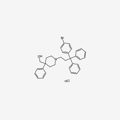 Cl.OCC1(c2ccccc2)CCN(CCC(c2ccccc2)(c2ccccc2)c2ccc(Br)cc2)CC1